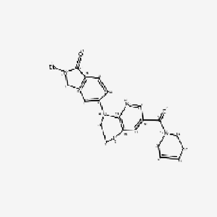 CCN1Cc2cc(N3CCCc4cc(C(=O)N5CC=CCC5)cnc43)ccc2C1=O